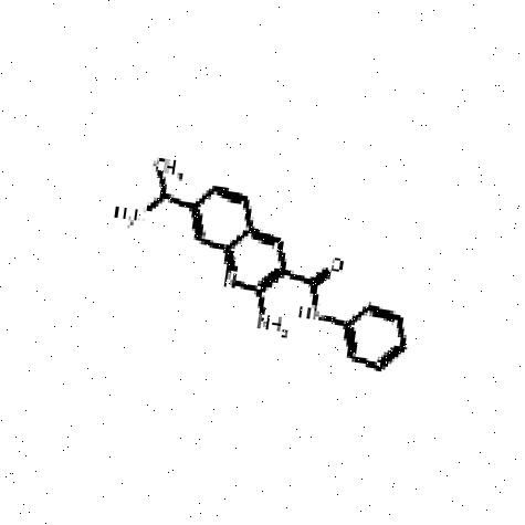 CC(C)c1ccc2cc(C(=O)Nc3ccccc3)c(N)nc2c1